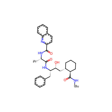 CC(C)[C@H](NC(=O)c1ccc2ccccc2n1)C(=O)N[C@@H](Cc1ccccc1)[C@H](O)C[C@@H]1CCCC[C@H]1C(=O)NC(C)(C)C